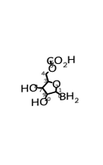 BC1OC(COC(=O)O)C(O)C1O